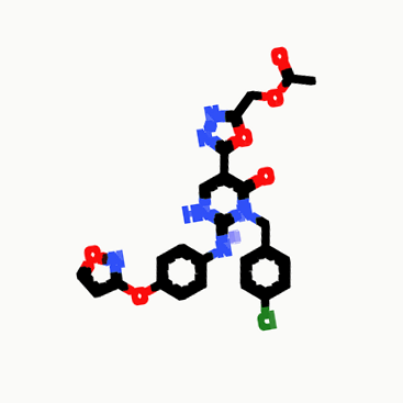 CC(=O)OCc1nnc(-c2c[nH]/c(=N\c3ccc(Oc4ccon4)cc3)n(Cc3ccc(Cl)cc3)c2=O)o1